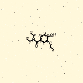 CCOc1cc(C(=O)N(CC)CC)ccc1O